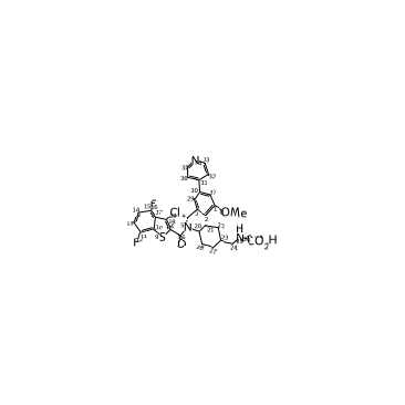 COc1cc(CN(C(=O)c2sc3c(F)ccc(F)c3c2Cl)C2CCC(CNC(=O)O)CC2)cc(-c2ccncc2)c1